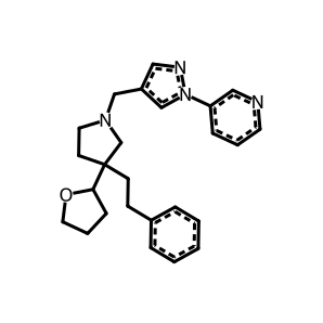 c1ccc(CCC2(C3CCCO3)CCN(Cc3cnn(-c4cccnc4)c3)C2)cc1